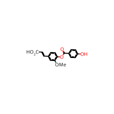 COc1cc(/C=C/C(=O)O)ccc1OC(=O)c1ccc(O)cc1